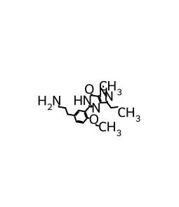 CCCc1nn(C)c2c(=O)[nH]c(-c3cc(CCCN)ccc3OCC)nc12